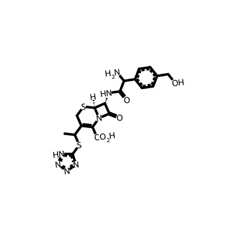 CC(Sc1nnn[nH]1)C1=C(C(=O)O)N2C(=O)[C@@H](NC(=O)C(N)c3ccc(CO)cc3)[C@@H]2SC1